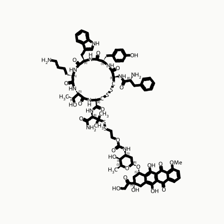 COc1cccc2c1C(=O)c1c(O)c3c(c(O)c1C2=O)C[C@@](O)(C(=O)CO)C[C@@H]3O[C@H]1C[C@H](NC(=O)OCCSSC(C)(C)[C@H](NC(=O)[C@@H]2CSSC[C@H](NC(=O)[C@H](N)Cc3ccccc3)C(=O)N[C@@H](Cc3ccc(O)cc3)C(=O)N[C@H](Cc3c[nH]c4ccccc34)C(=O)N[C@@H](CCCCN)C(=O)N[C@@H]([C@@H](C)O)C(=O)N2)C(N)=O)[C@H](O)[C@H](C)O1